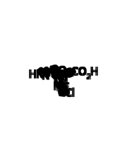 O=C(O)c1ccc(NC(=O)C2c3cccc(-c4cnc5[nH]ccc5c4)c3CCN2C(=O)c2cn(-c3cccc(Cl)c3F)nn2)cc1